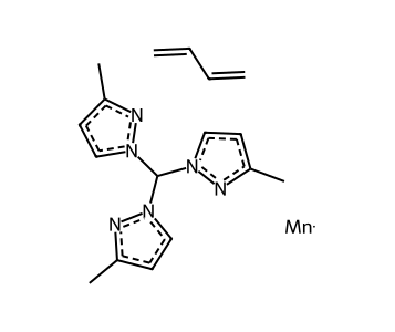 C=CC=C.Cc1ccn(C(n2ccc(C)n2)n2ccc(C)n2)n1.[Mn]